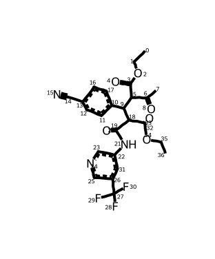 CCOC(=O)C(C(C)=O)C(c1ccc(C#N)cc1)C(C(=O)Nc1cncc(C(F)(F)F)c1)C(=O)OCC